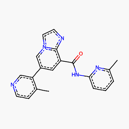 Cc1cccc(NC(=O)c2cc(-c3cnccc3C)cn3ccnc23)n1